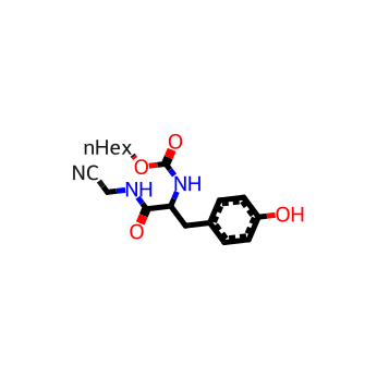 CCCCCCOC(=O)NC(Cc1ccc(O)cc1)C(=O)NCC#N